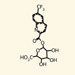 O=C(OC1OC(C(=O)O)C(O)C(O)C1O)c1ccc2cc(C(F)(F)F)ccc2n1